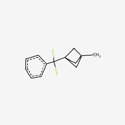 CC12CC(C(F)(F)c3ccccc3)(C1)C2